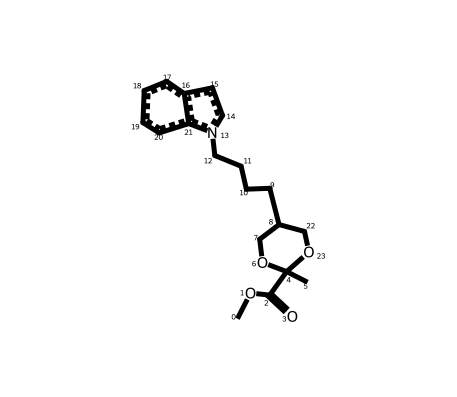 COC(=O)C1(C)OCC(CCCCn2ccc3ccccc32)CO1